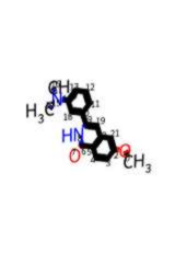 COc1ccc2c(=O)[nH]c(-c3cccc(N(C)C)c3)cc2c1